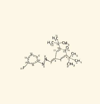 CC(C)(C)C1=CC(=CN=Nc2cccc(F)c2)C=C(C(C)(C)C)C1=O